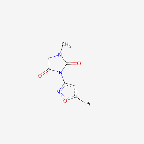 CC(C)c1cc(N2C(=O)CN(C)C2=O)no1